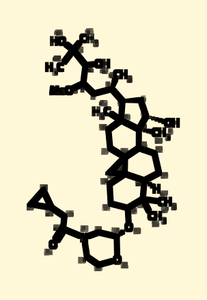 COC(C[C@@H](C)[C@H]1C[C@H](O)[C@@]2(C)C3CC[C@H]4C(C)(C)C(O[C@H]5CN(C(=O)CC6CC6)CCO5)CCC45CC35CCC12C)C(O)C(C)(C)O